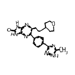 Cc1nc(-c2ccc(-c3nc4[nH]c(=O)[nH]c4nc3CCC3CCOCC3)cc2)n[nH]1